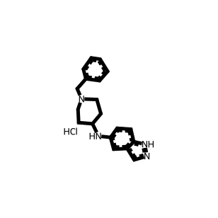 Cl.c1ccc(CN2CCC(Nc3ccc4[nH]ncc4c3)CC2)cc1